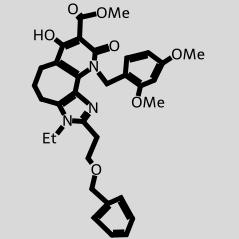 CCn1c(CCOCc2ccccc2)nc2c1CCCc1c(O)c(C(=O)OC)c(=O)n(Cc3ccc(OC)cc3OC)c1-2